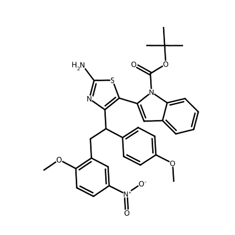 COc1ccc(C(Cc2cc([N+](=O)[O-])ccc2OC)c2nc(N)sc2-c2cc3ccccc3n2C(=O)OC(C)(C)C)cc1